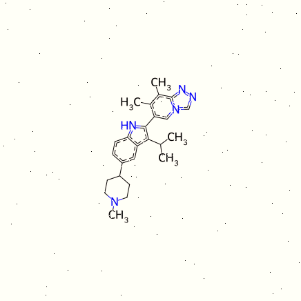 Cc1c(-c2[nH]c3ccc(C4CCN(C)CC4)cc3c2C(C)C)cn2cnnc2c1C